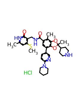 CSc1cc(C)[nH]c(=O)c1CNC(=O)c1cc(-c2ccc(N3CCCCC3)nc2)c2c(c1C)OC(C)(C1CCNCC1)O2.Cl